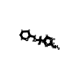 CC(C)(OCC1CCCCO1)c1csc(N)n1